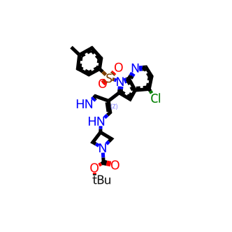 Cc1ccc(S(=O)(=O)n2c(/C(C=N)=C/NC3CN(C(=O)OC(C)(C)C)C3)cc3c(Cl)ccnc32)cc1